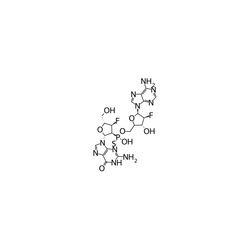 Nc1nc2c(ncn2[C@@H]2O[C@H](CO)[C@@H](F)[C@H]2P(O)(=S)OCC2O[C@@H](n3cnc4c(N)ncnc43)[C@@H](F)[C@@H]2O)c(=O)[nH]1